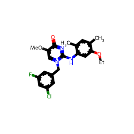 CCOc1cc(Nc2nc(=O)c(OC)cn2Cc2cc(F)cc(Cl)c2)c(C)cc1C